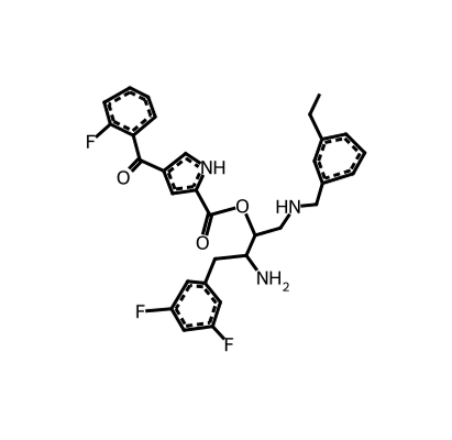 CCc1cccc(CNCC(OC(=O)c2cc(C(=O)c3ccccc3F)c[nH]2)C(N)Cc2cc(F)cc(F)c2)c1